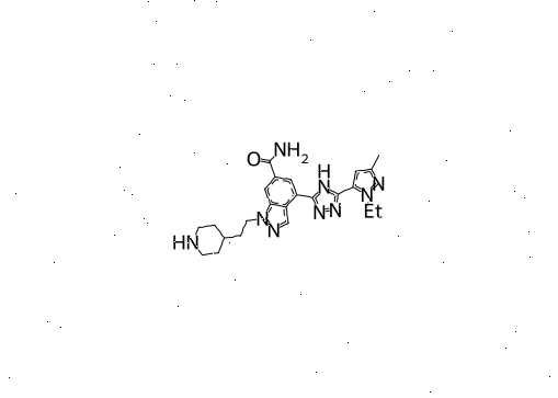 CCn1nc(C)cc1-c1nnc(-c2cc(C(N)=O)cc3c2cnn3CCC2CCNCC2)[nH]1